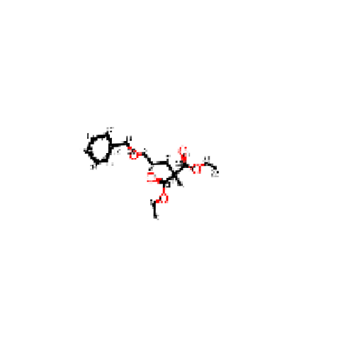 CCOC(=O)C(C)(CCCOCc1ccccc1)C(=O)OCC